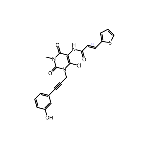 Cn1c(=O)c(NC(=O)/C=C/c2cccs2)c(Cl)n(CC#Cc2cccc(O)c2)c1=O